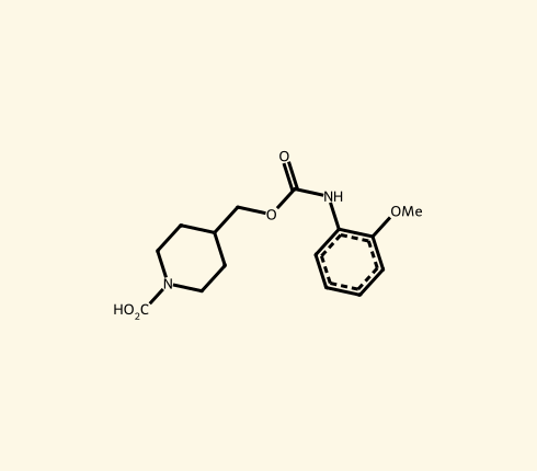 COc1ccccc1NC(=O)OCC1CCN(C(=O)O)CC1